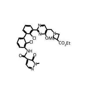 CCOC(=O)C1CN(Cc2cnc(-c3cccc(-c4cccc(NC(=O)c5ccnn(C)c5=O)c4Cl)c3Cl)nc2OC)C1